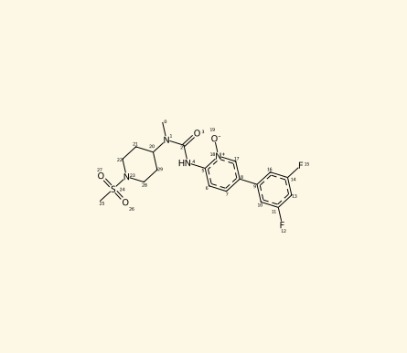 CN(C(=O)Nc1ccc(-c2cc(F)cc(F)c2)c[n+]1[O-])C1CCN(S(C)(=O)=O)CC1